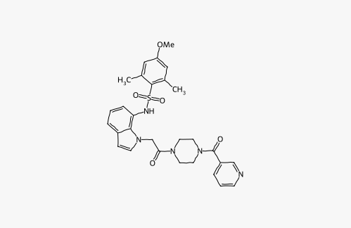 COc1cc(C)c(S(=O)(=O)Nc2cccc3ccn(CC(=O)N4CCN(C(=O)c5cccnc5)CC4)c23)c(C)c1